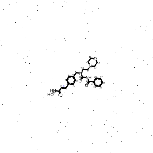 O=C(/C=C/c1ccc(CN(CCN2CCOCC2)C(=O)NC(=O)c2ccccc2)cc1)NO